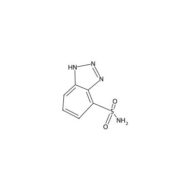 NS(=O)(=O)c1cccc2[nH]nnc12